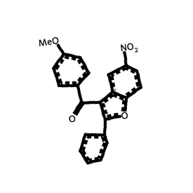 COc1ccc(C(=O)c2c(-c3ccccc3)oc3ccc([N+](=O)[O-])cc23)cc1